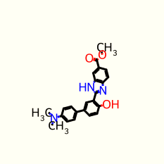 COC(=O)c1ccc2nc(-c3cc(-c4ccc(N(C)C)cc4)ccc3O)[nH]c2c1